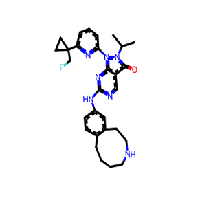 CC(C)n1c(=O)c2cnc(Nc3ccc4c(c3)CCNCCCC4)nc2n1-c1cccc(C2(CF)CC2)n1